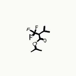 CC(C)OC(=O)C(C(C)C)C(F)(F)F